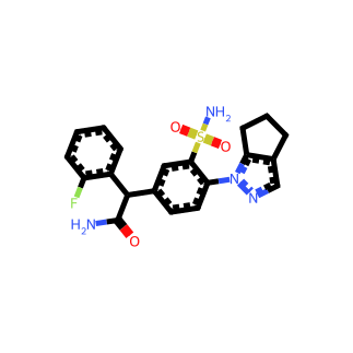 NC(=O)C(c1ccc(-n2ncc3c2CCC3)c(S(N)(=O)=O)c1)c1ccccc1F